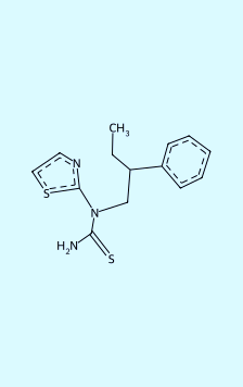 CCC(CN(C(N)=S)c1nccs1)c1ccccc1